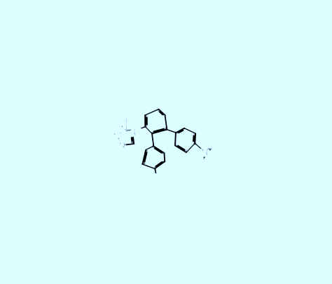 O=[N+]([O-])c1ccc(-c2cccc(-[n+]3cnn[nH]3)c2-c2ccc(I)cc2)cc1.[Cl-]